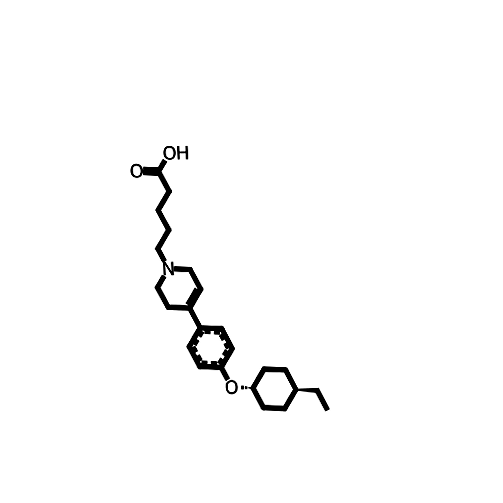 CC[C@H]1CC[C@H](Oc2ccc(C3=CCN(CCCCC(=O)O)CC3)cc2)CC1